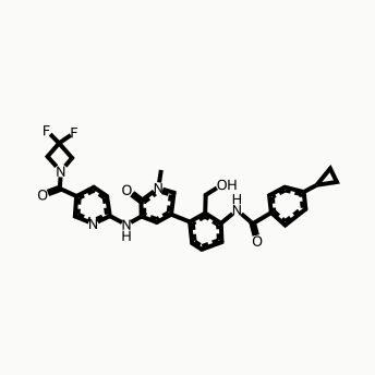 Cn1cc(-c2cccc(NC(=O)c3ccc(C4CC4)cc3)c2CO)cc(Nc2ccc(C(=O)N3CC(F)(F)C3)cn2)c1=O